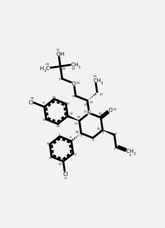 C=CC[C@H]1C[C@H](c2cccc(Cl)c2)[C@@H](c2ccc(Cl)cc2)N([C@@H](CC)COCC(C)(C)O)C1=O